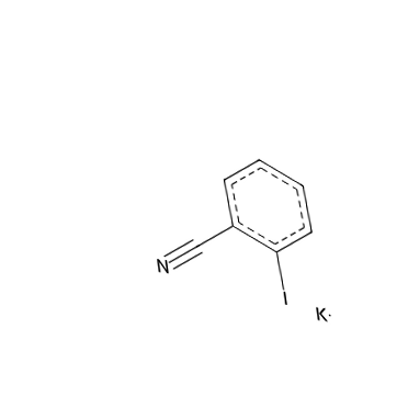 N#Cc1ccccc1I.[K]